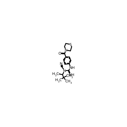 CC(N(C#N)C(=N)Nc1ccc(C(=O)N2CCSCC2)cc1)C(C)(C)C